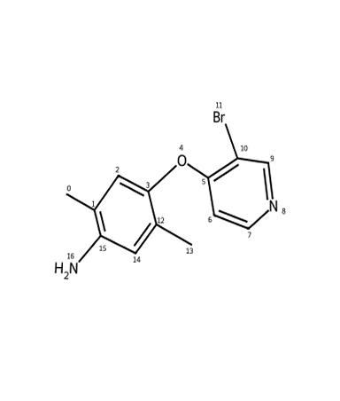 Cc1cc(Oc2ccncc2Br)c(C)cc1N